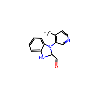 Cc1ccncc1N1c2ccccc2NC1C=O